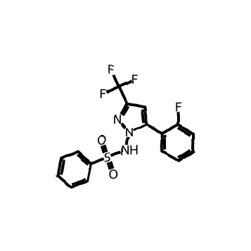 O=S(=O)(Nn1nc(C(F)(F)F)cc1-c1ccccc1F)c1ccccc1